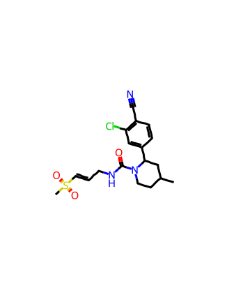 CC1CCN(C(=O)NCC=CS(C)(=O)=O)C(c2ccc(C#N)c(Cl)c2)C1